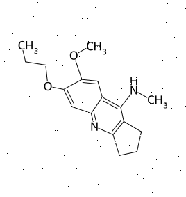 CCCOc1cc2nc3c(c(NC)c2cc1OC)CCC3